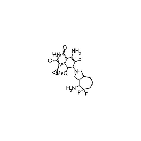 COC1c2c(c(=O)[nH]c(=O)n2C2CC2)C(N)=C(F)C1N1CC2CCCC(F)(F)C(N)C2C1